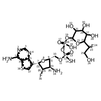 Nc1ncnc2c([C@@H]3O[C@H](COP(=O)(S)OP(=O)(O)OC4OC([C@@H](F)CO)C(O)C(O)C4O)[C@@H](N)[C@H]3F)csc12